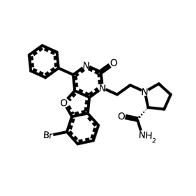 NC(=O)[C@H]1CCCN1CCn1c(=O)nc(-c2ccccc2)c2oc3c(Br)cccc3c21